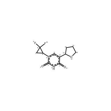 O=c1[nH]c(=O)n(C2CC2(F)F)cc1C1CCCO1